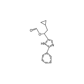 O=COC(CC1CC1)c1cnc(-c2ccccc2)[nH]1